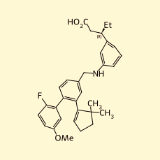 CC[C@H](CC(=O)O)c1cccc(NCc2ccc(-c3cc(OC)ccc3F)c(C3=CCCC3(C)C)c2)c1